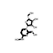 OC[C@H]1O[C@@H](n2ccc(NO)n/c2=N\O)[C@H](O)[C@@H]1O